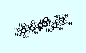 C=C1C[C@@]23CCC4[C@](C)(C(=O)OC5OC(CO)C(O)C(O)C5OC5OC(CO)C(O)C(O)C5O)CCC[C@@]4(C)[C@@H]2CCC1(OC1OC(CO)C(O)C(OC2CC(CO)C(O)C(O)C2O)C1O)C3